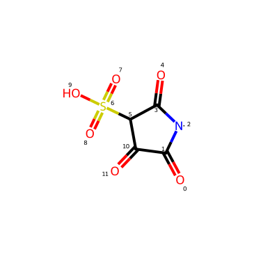 O=C1[N]C(=O)C(S(=O)(=O)O)C1=O